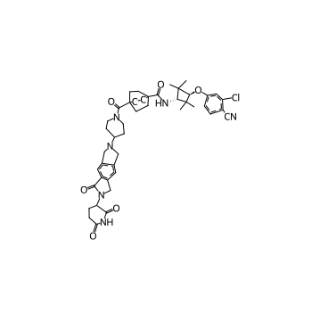 CC1(C)[C@H](NC(=O)C23CCC(C(=O)N4CCC(N5Cc6cc7c(cc6C5)C(=O)N(C5CCC(=O)NC5=O)C7)CC4)(CC2)CC3)C(C)(C)[C@H]1Oc1ccc(C#N)c(Cl)c1